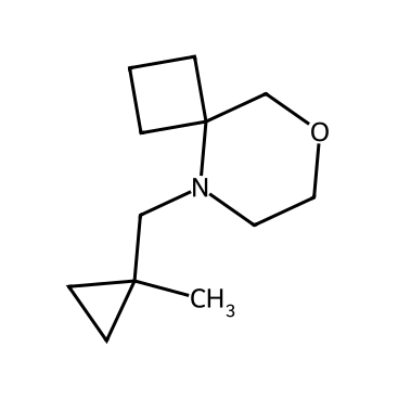 CC1(CN2CCOCC23CCC3)CC1